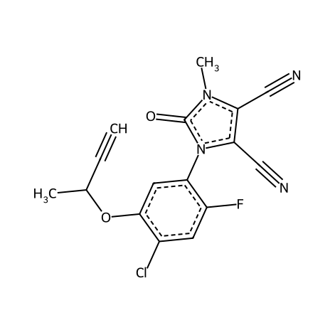 C#CC(C)Oc1cc(-n2c(C#N)c(C#N)n(C)c2=O)c(F)cc1Cl